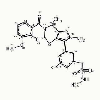 CNS(=O)(=O)Cc1cc(Cl)cc(-c2c3c(nn2C)[C@H](C)N(C(=O)c2cccc(OC)c2Cl)CC3)c1